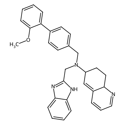 COc1ccccc1-c1ccc(CN(Cc2nc3ccccc3[nH]2)C2C=C3C=CC=NC3CC2)cc1